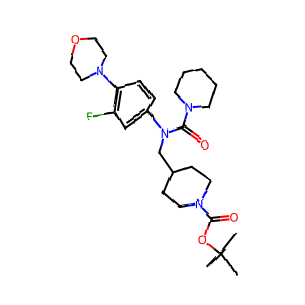 CC(C)(C)OC(=O)N1CCC(CN(C(=O)N2CCCCC2)c2ccc(N3CCOCC3)c(F)c2)CC1